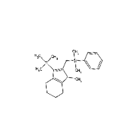 CC1C2=C(CCCC2)[C]([Ti]([CH3])([CH3])[CH3])=C1C[Si](C)(C)c1ccccc1